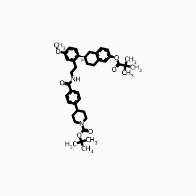 COc1ccc([C@@H]2CCc3cc(OC(=O)C(C)(C)C)ccc3C2)c(CCNC(=O)c2ccc(C3CCN(C(=O)OC(C)(C)C)CC3)cc2)c1